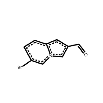 O=Cc1cc2ccc(Br)cn2c1